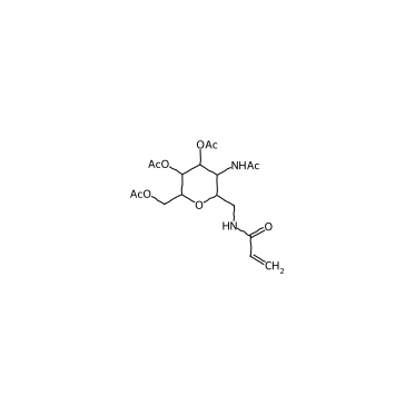 C=CC(=O)NCC1OC(COC(C)=O)C(OC(C)=O)C(OC(C)=O)C1NC(C)=O